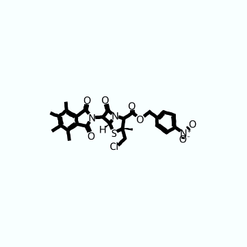 Cc1c(C)c(C)c2c(c1C)C(=O)N(C1C(=O)N3C(C(=O)OCc4ccc([N+](=O)[O-])cc4)[C@](C)(CCl)S[C@@H]13)C2=O